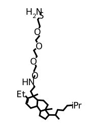 CCC1=CCC2C(CCC3(C)C(C(C)CCCC(C)C)CCC23)C1(C)CCNOCCOCCOCCOCCSN